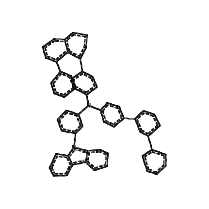 c1ccc(-c2cccc(-c3ccc(N(c4ccc(-c5cccc6cccc(-c7ccccc7)c56)cc4)c4cccc(-n5c6ccccc6c6ccccc65)c4)cc3)c2)cc1